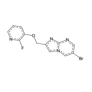 Fc1ncccc1OCc1cn2cc(Br)cnc2n1